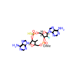 COP1(=O)OCC2O[C@@H](n3cnc4c(N)ncnc43)C(O[P@@](=O)(S)OC[C@H]3O[C@@H](n4cnc5c(N)ncnc54)C(F)C3O1)C2C